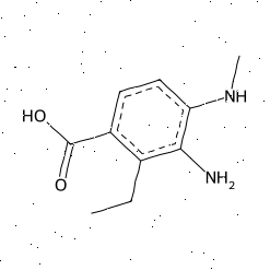 CCc1c(C(=O)O)ccc(NC)c1N